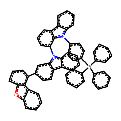 c1ccc([Si](c2ccccc2)(c2ccccc2)c2ccc(-n3c4ccccc4c4cccc(-n5c6ccccc6c6ccc(-c7cccc8oc9ccccc9c78)cc65)c43)cc2)cc1